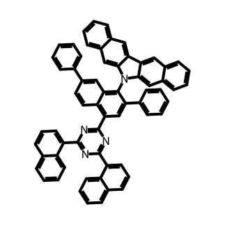 c1ccc(-c2ccc3c(-c4nc(-c5cccc6ccccc56)nc(-c5cccc6ccccc56)n4)cc(-c4ccccc4)c(-n4c5cc6ccccc6cc5c5cc6ccccc6cc54)c3c2)cc1